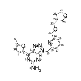 Cc1ccc(-c2nc(N)nc3c2nnn3Cc2cccc(COCC3CCOC3)n2)o1